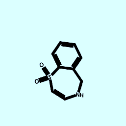 O=S1(=O)C=CNCc2ccccc21